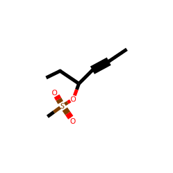 CC#CC(CC)OS(C)(=O)=O